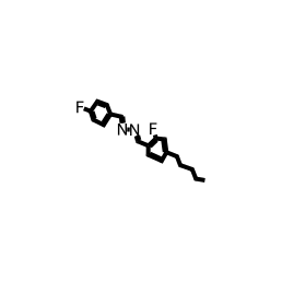 CCCCCc1ccc(C=NN=Cc2ccc(F)cc2)c(F)c1